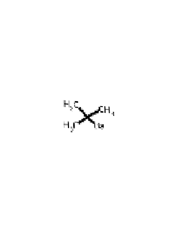 C[C](C)(C)[Ba]